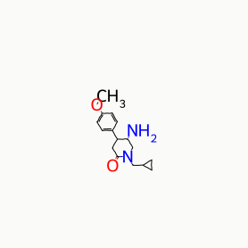 COc1ccc(C2CC(=O)N(CC3CC3)C[C@H]2N)cc1